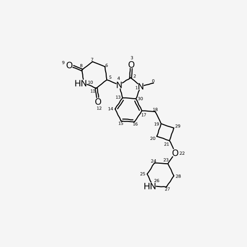 Cn1c(=O)n(C2CCC(=O)NC2=O)c2cccc(CC3CC(OC4CCNCC4)C3)c21